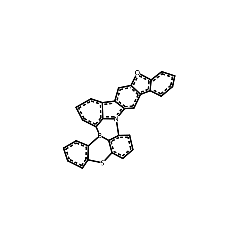 c1ccc2c(c1)Sc1cccc3c1B2c1cccc2c4cc5oc6ccccc6c5cc4n-3c12